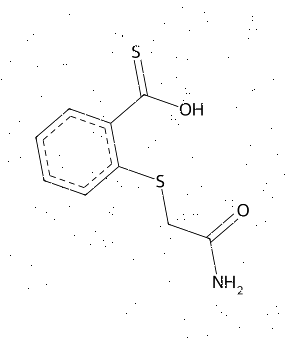 NC(=O)CSc1ccccc1C(O)=S